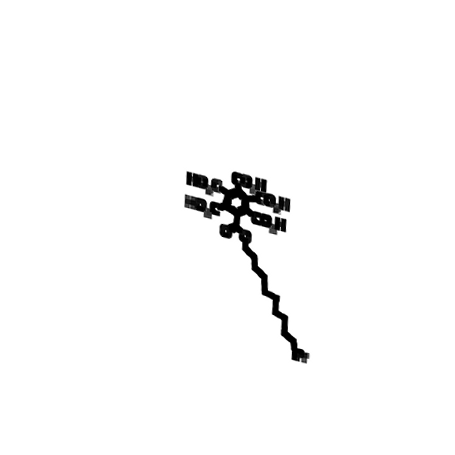 CC(C)CCCCCCCCCCOC(=O)c1c(C(=O)O)c(C(=O)O)c(C(=O)O)c(C(=O)O)c1C(=O)O